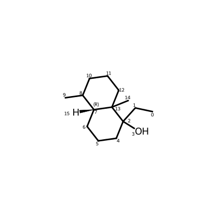 CCC1(O)CCC[C@@H]2C(C)CCCC21C